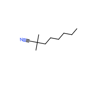 CCCCCCC(C)(C)C#N